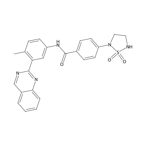 Cc1ccc(NC(=O)c2ccc(N3CCNS3(=O)=O)cc2)cc1-c1ncc2ccccc2n1